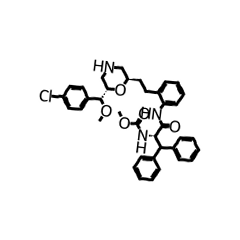 COC(=O)N[C@H](C(=O)Nc1ccccc1CC[C@@H]1CNC[C@@H](C(OC)c2ccc(Cl)cc2)O1)C(c1ccccc1)c1ccccc1